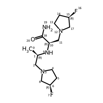 C[C@H](CN1CC[C@@H](F)C1)N[C@H](CN1CC[C@@H](F)C1)C(N)=O